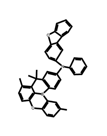 Cc1ccc2c(c1)B1c3ccc(N(c4ccccc4)c4ccc5oc6ccccc6c5c4)cc3C(C)(C)c3c(C)ccc(c31)O2